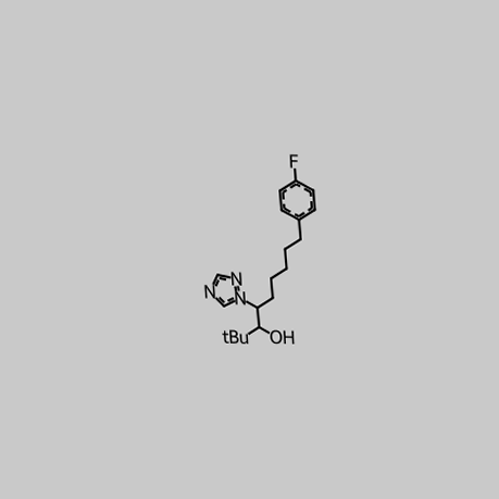 CC(C)(C)C(O)C(CCCCCc1ccc(F)cc1)n1cncn1